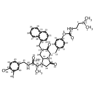 CN(C)CCNC(=O)Oc1ccc(C[C@H]2C(=O)N(Cc3cccc4ccccc34)C[C@H]3N2C(=O)CN3N(C)C(=O)NCc2ccc(Cl)c(I)c2)cc1